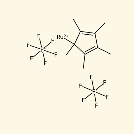 CC1=C(C)[C](C)([Ru+2])C(C)=C1C.F[P-](F)(F)(F)(F)F.F[P-](F)(F)(F)(F)F